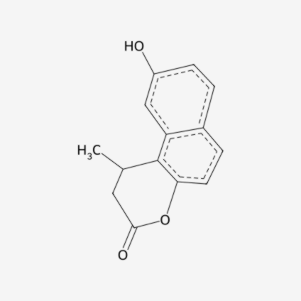 CC1CC(=O)Oc2ccc3ccc(O)cc3c21